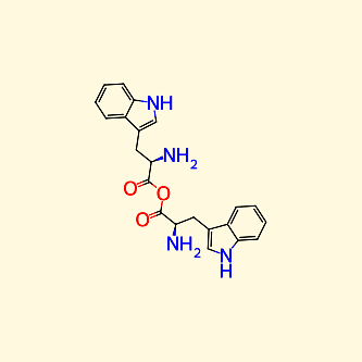 N[C@H](Cc1c[nH]c2ccccc12)C(=O)OC(=O)[C@H](N)Cc1c[nH]c2ccccc12